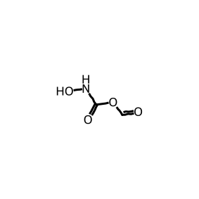 O=COC(=O)NO